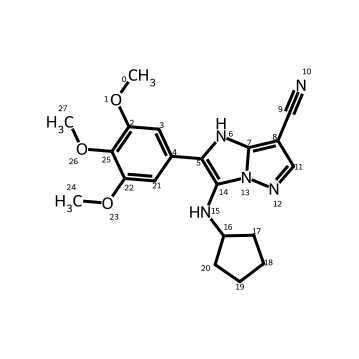 COc1cc(-c2[nH]c3c(C#N)cnn3c2NC2CCCC2)cc(OC)c1OC